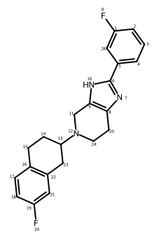 Fc1cccc(-c2nc3c([nH]2)CN(C2CCc4ccc(F)cc4C2)CC3)c1